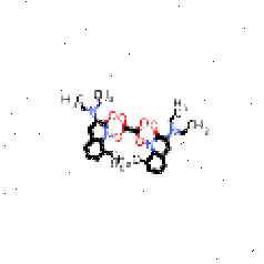 CCN(CC)c1cc2cccc(C)c2n(OC(=O)C(=O)On2c(=O)c(N(CC)CC)cc3cccc(C)c32)c1=O